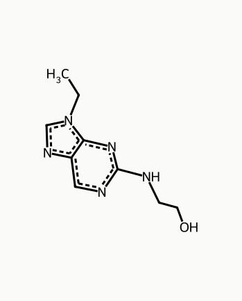 CCn1cnc2cnc(NCCO)nc21